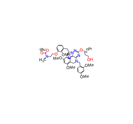 CCC[C@H](CCO)Oc1nc(N(Cc2ccc(OC)cc2OC)Cc2ccc(OC)cc2OC)c2ncc(Cc3cccc(OCCN(C)C(=O)OC(C)(C)C)c3OC)n2n1